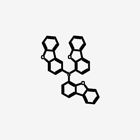 c1ccc2c(c1)oc1ccc(N(c3cccc4c3oc3ccccc34)c3cccc4c3oc3ccccc34)cc12